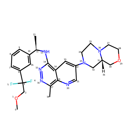 COCC(F)(F)c1cccc([C@@H](C)Nc2nnc(C)c3ncc(N4CCN5CCOC[C@@H]5C4)cc23)c1